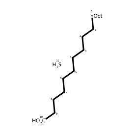 CCCCCCCCCCCCCCCCCC(=O)O.S